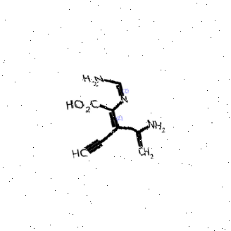 C#C/C(C(=C)N)=C(/N=C\N)C(=O)O